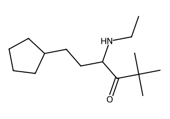 CCNC(CCC1CCCC1)C(=O)C(C)(C)C